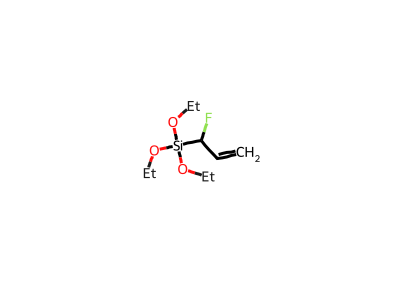 C=CC(F)[Si](OCC)(OCC)OCC